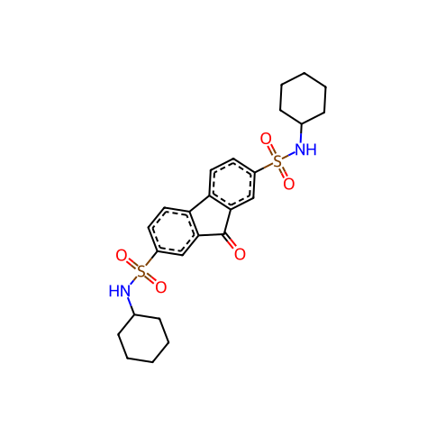 O=C1c2cc(S(=O)(=O)NC3CCCCC3)ccc2-c2ccc(S(=O)(=O)NC3CCCCC3)cc21